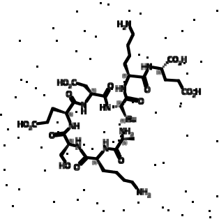 CC[C@H](C)[C@H](NC(=O)[C@H](CC(=O)O)NC(=O)[C@H](CCC(=O)O)NC(=O)[C@H](CO)NC(=O)[C@H](CCCCN)NC(=O)[C@H](C)N)C(=O)N[C@@H](CCCCN)C(=O)N[C@@H](CCC(=O)O)C(=O)O